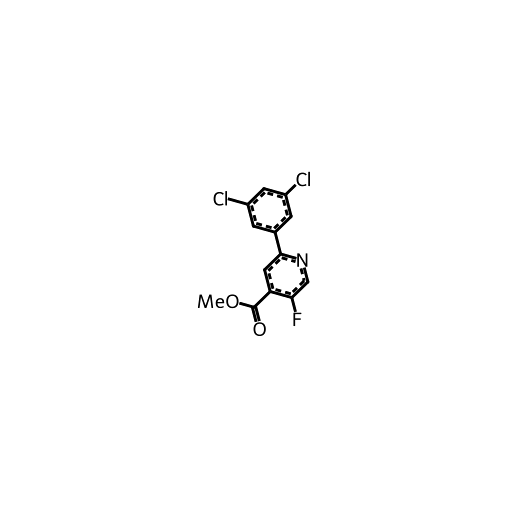 COC(=O)c1cc(-c2cc(Cl)cc(Cl)c2)ncc1F